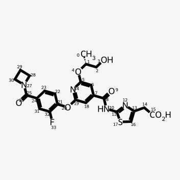 C[C@H](CO)Oc1cc(C(=O)Nc2nc(CC(=O)O)cs2)cc(Oc2ccc(C(=O)N3CCC3)cc2F)n1